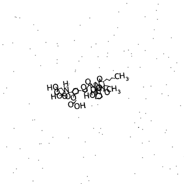 CCCCCC(C(=O)NCNC(=O)c1ccc(-c2ccc(C(=O)NC(CC(=O)O)C(=O)O)c(OCC(=O)O)c2)o1)C(CC)N(C=O)OC(=O)c1ccccc1O